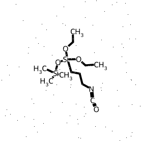 CCO[Si](CCCN=C=O)(OCC)O[Si](C)(C)C